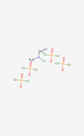 CN(C)Cl.O=P([O-])(Cl)Cl.O=P([O-])(Cl)Cl.O=P([O-])(Cl)Cl.O=P([O-])(Cl)Cl.[C+4]